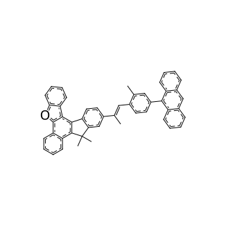 C/C(=C\c1ccc(-c2c3ccccc3cc3ccccc23)cc1C)c1ccc2c(c1)C(C)(C)c1c-2c2c3ccccc3oc2c2ccccc12